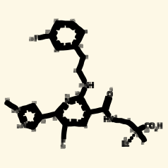 CC[C@](C)(CNC(=O)c1cc(F)c(-c2cnn(C)c2)nc1NCCc1cccc(F)c1)C(=O)O